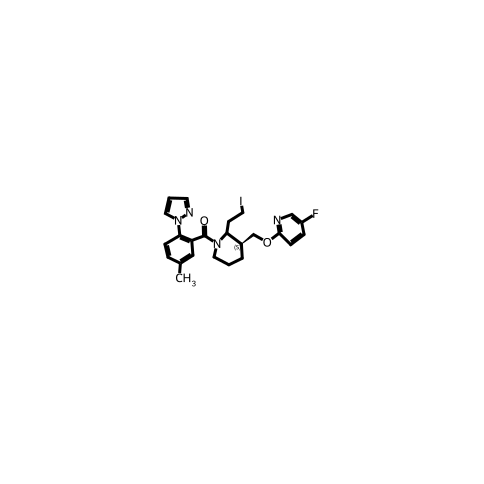 Cc1ccc(-n2cccn2)c(C(=O)N2CCC[C@H](COc3ccc(F)cn3)C2CCI)c1